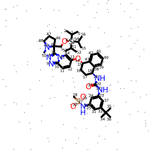 CC(C)[Si](OCC1(c2nnc3ccc(O[C@@H]4CC[C@H](NC(=O)Nc5cc(NS(C)(=O)=O)cc(C(C)(C)C)c5)c5ccccc54)cn23)CCCN1C)(C(C)C)C(C)C